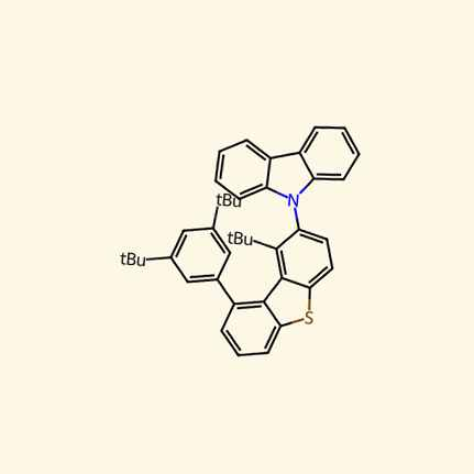 CC(C)(C)c1cc(-c2cccc3sc4ccc(-n5c6ccccc6c6ccccc65)c(C(C)(C)C)c4c23)cc(C(C)(C)C)c1